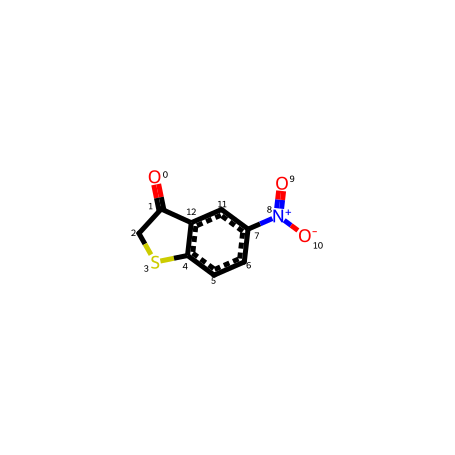 O=C1CSc2ccc([N+](=O)[O-])cc21